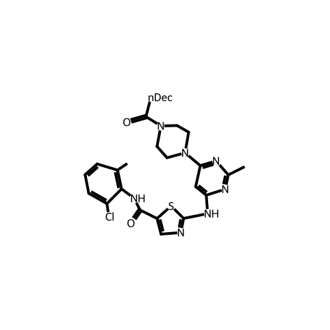 CCCCCCCCCCC(=O)N1CCN(c2cc(Nc3ncc(C(=O)Nc4c(C)cccc4Cl)s3)nc(C)n2)CC1